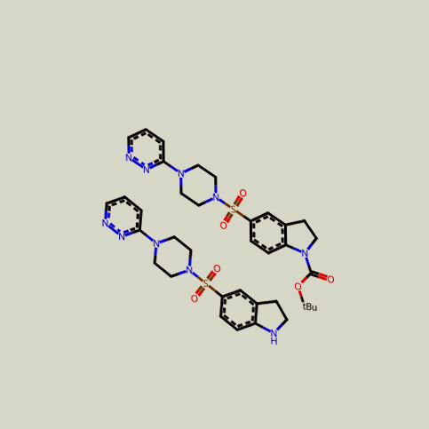 CC(C)(C)OC(=O)N1CCc2cc(S(=O)(=O)N3CCN(c4cccnn4)CC3)ccc21.O=S(=O)(c1ccc2c(c1)CCN2)N1CCN(c2cccnn2)CC1